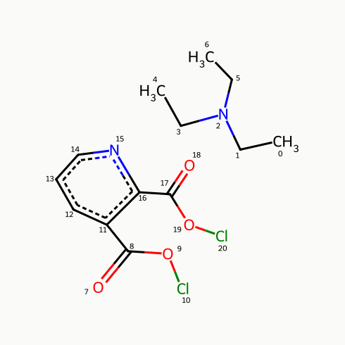 CCN(CC)CC.O=C(OCl)c1cccnc1C(=O)OCl